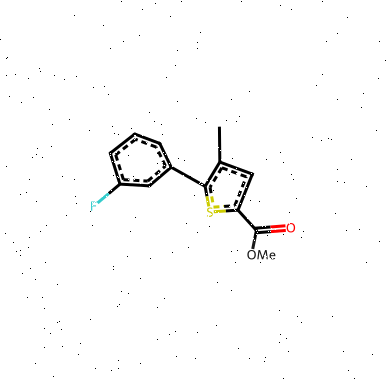 COC(=O)c1cc(C)c(-c2cccc(F)c2)s1